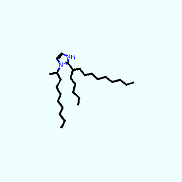 CCCCCCCCCC(CCCCC)c1[nH]cc[n+]1C(C)CCCCCCCC